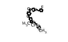 Cc1c(C)n(CCCN2CCN(C)CC2)c2ccc(Oc3ccc(C(=O)N4CCN(CCc5cccc(F)c5)CC4)cc3)cc12